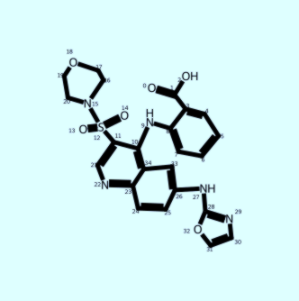 O=C(O)c1ccccc1Nc1c(S(=O)(=O)N2CCOCC2)cnc2ccc(Nc3ncco3)cc12